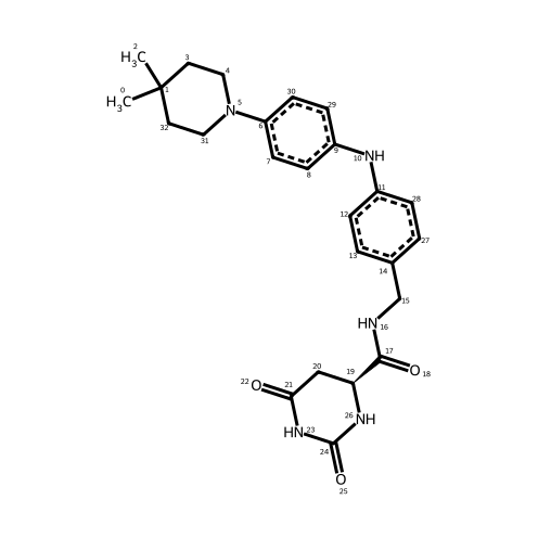 CC1(C)CCN(c2ccc(Nc3ccc(CNC(=O)[C@@H]4CC(=O)NC(=O)N4)cc3)cc2)CC1